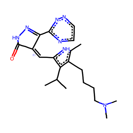 Cc1[nH]c(/C=C2/C(=O)NN=C2c2nccnn2)c(C(C)C)c1CCCCN(C)C